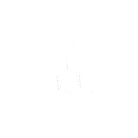 Fc1cc(F)c(F)c(F)c1F.O=S=O